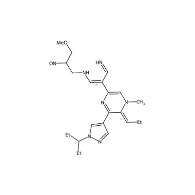 CC/C=C1/C(c2cnn(C(CC)CC)c2)=NC(/C(C=N)=C/NCC(COC)N=O)=CN1C